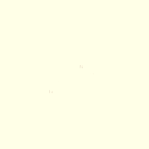 Brc1cc[c]c(N2C=CCO2)c1